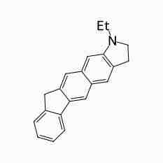 CCN1CCc2cc3cc4c(cc3cc21)Cc1ccccc1-4